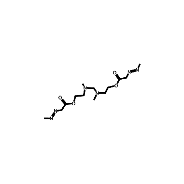 CN=NCC(=O)OCCN(C)CN(C)CCOC(=O)CN=NC